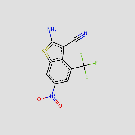 N#Cc1c(N)sc2cc([N+](=O)[O-])cc(C(F)(F)F)c12